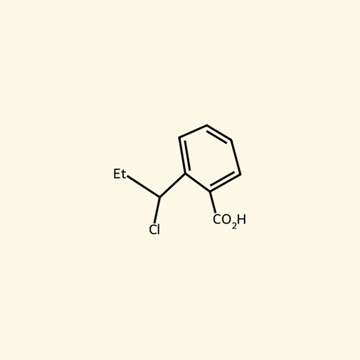 CCC(Cl)c1ccccc1C(=O)O